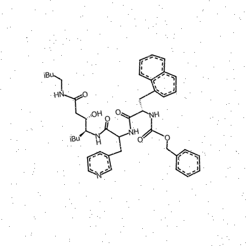 CCC(C)CNC(=O)C[C@H](O)[C@@H](NC(=O)C(Cc1cccnc1)NC(=O)[C@H](Cc1cccc2ccccc12)NC(=O)OCc1ccccc1)C(C)CC